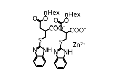 CCCCCCOC(=O)CC(CSc1nc2ccccc2[nH]1)C(=O)[O-].CCCCCCOC(=O)CC(CSc1nc2ccccc2[nH]1)C(=O)[O-].[Zn+2]